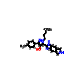 COCCCn1nc(-c2ccc(C)cc2)c(O)c1-c1nc2cc3c(cc2[nH]1)CNC3